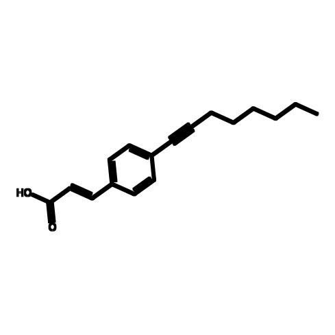 CCCCCCC#Cc1ccc(/C=C/C(=O)O)cc1